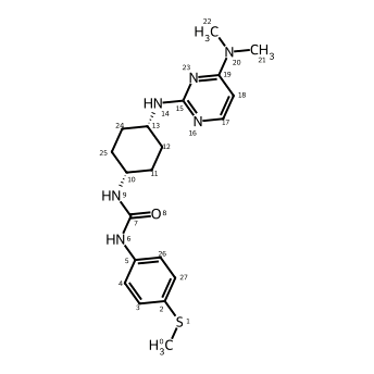 CSc1ccc(NC(=O)N[C@H]2CC[C@@H](Nc3nccc(N(C)C)n3)CC2)cc1